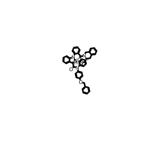 NC[C@@H]1Cc2ccccc2CN1C(=O)c1ccccc1-n1nc(C(=O)N(c2ccccc2)c2ccc(OCc3ccccc3)cc2)c2ccccc21